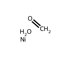 C=O.O.[Ni]